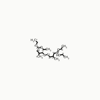 CCO[SiH](CC(C)CSSCC(C)C[SiH](OCC)OCC)OCC